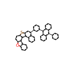 c1ccc(-c2c3ccccc3c(-c3cccc(-c4cc5sc6ccc7oc8ccccc8c7c6c5c5ccccc45)c3)c3ccccc23)cc1